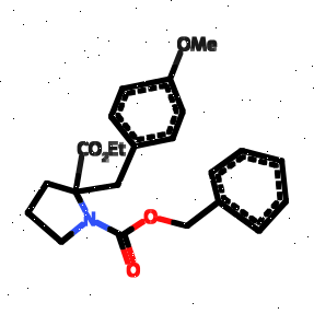 CCOC(=O)C1(Cc2ccc(OC)cc2)CCCN1C(=O)OCc1ccccc1